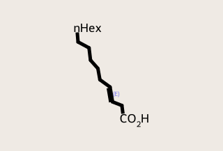 CCCCCCCCCCC/C=C/CC(=O)O